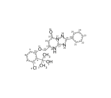 CC(C)(O)c1c(Cl)cccc1OCc1cc(=O)n2nc(-c3ccccc3)nc2[nH]1